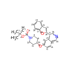 CC(C)(C)OC(=O)N1CCC(Oc2ccc3cncc(-c4cc5ccccc5o4)c3c2)CC1